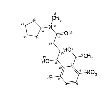 CC(O)c1c([N+](=O)[O-])ccc(F)c1C(O)CCC(=O)N(C)C1CCCC1